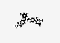 CS(=O)(=O)N1CCC([C@@H](CCN2CCC(N(CC3CC3)C(=O)O)CC2)c2cc(F)cc(F)c2)CC1